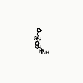 CN(C(=O)CCc1ccccc1)c1ccc2c(c1)N(Cc1c[nH]cn1)CC2